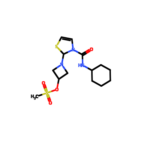 CS(=O)(=O)OC1CN(C2SC=CN2C(=O)NC2CCCCC2)C1